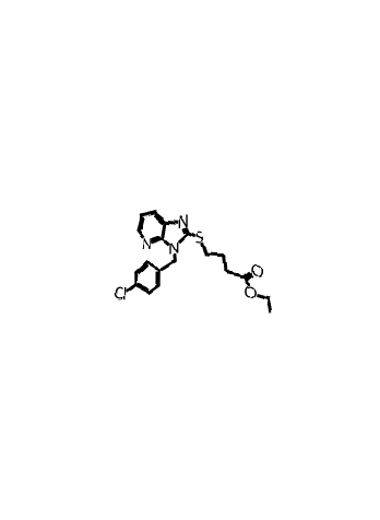 CCOC(=O)CCCSc1nc2cccnc2n1Cc1ccc(Cl)cc1